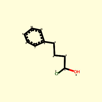 OC(Cl)CCCc1ccccc1